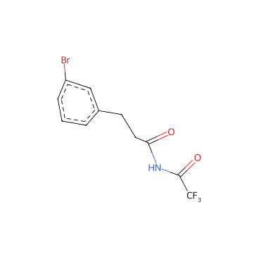 O=C(CCc1cccc(Br)c1)NC(=O)C(F)(F)F